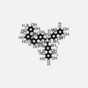 Bc1c(O)c(O)c(B)c(-c2c(O)c(O)c(O)c3c2sc2c(-c4c(O)c(O)c(B)c(-c5nc(-c6c(B)c(O)c(-c7c(B)c(O)c(O)c(O)c7O)c(B)c6O)nc(-c6c(B)c(O)c(-c7c(O)c(O)c(O)c(O)c7O)c(O)c6O)n5)c4O)c(B)c(O)c(O)c23)c1O